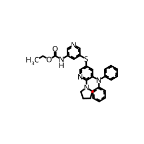 CCOC(=O)Nc1cncc(Sc2cnc(N3CCCC3)c(N(c3ccccc3)c3ccccc3)c2)c1